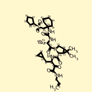 C=CCNC(=O)C(=O)C(CC1CC1)NC(=O)[C@@H]1C2C(CN1C(=O)[C@@H](NC(=O)NC1(CS(=O)(=O)C3CCCC3)CCCCC1)C(C)(C)C)C2(C)C